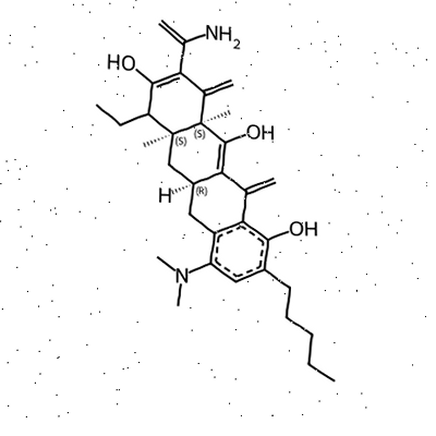 C=C(N)C1=C(O)C(CC)[C@]2(C)C[C@@H]3Cc4c(N(C)C)cc(CCCCC)c(O)c4C(=C)C3=C(O)[C@]2(C)C1=C